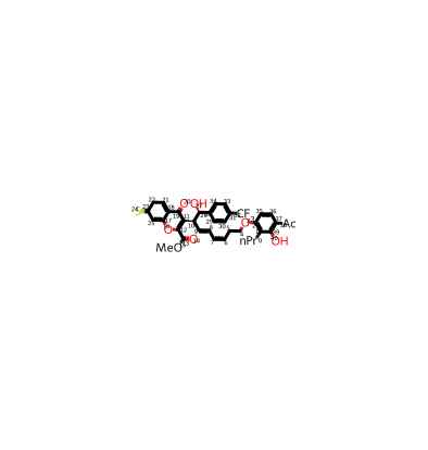 CCCc1c(OCC/C=C\C=C\[C@@H](c2c(C(=O)OC)oc3c(c2=O)=CCC(=S)C=3)[C@@H](O)c2ccc(C(F)(F)F)cc2)ccc(C(C)=O)c1O